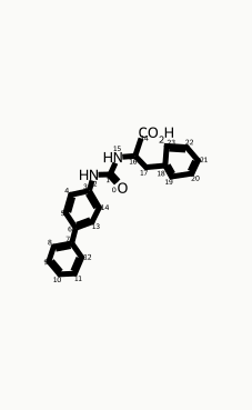 O=C(Nc1ccc(-c2ccccc2)cc1)NC(Cc1ccccc1)C(=O)O